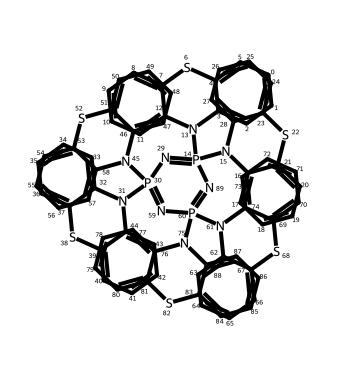 c1ccc2c(c1)Sc1ccccc1N2P1(N2c3ccccc3Sc3ccccc32)=NP(N2c3ccccc3Sc3ccccc32)(N2c3ccccc3Sc3ccccc32)=NP(N2c3ccccc3Sc3ccccc32)(N2c3ccccc3Sc3ccccc32)=N1